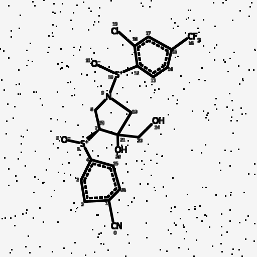 N#Cc1ccc([S+]([O-])[C@H]2CN([S+]([O-])c3ccc(C(F)(F)F)cc3Cl)CC2(O)CO)cc1